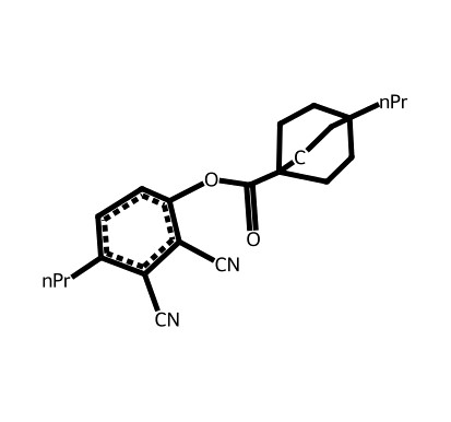 CCCc1ccc(OC(=O)C23CCC(CCC)(CC2)CC3)c(C#N)c1C#N